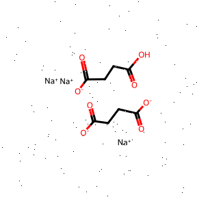 O=C([O-])CCC(=O)O.O=C([O-])CCC(=O)[O-].[Na+].[Na+].[Na+]